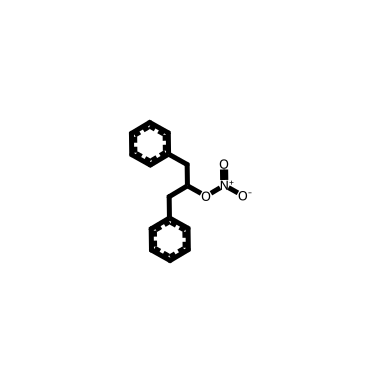 O=[N+]([O-])OC(Cc1ccccc1)Cc1ccccc1